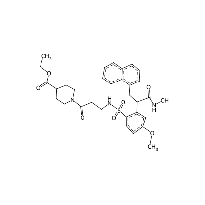 CCOC(=O)C1CCN(C(=O)CCNS(=O)(=O)c2ccc(OC)cc2C(Cc2cccc3ccccc23)C(=O)NO)CC1